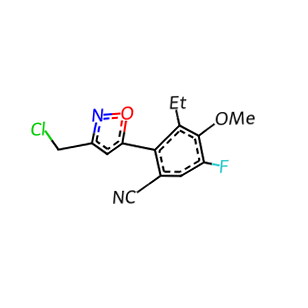 CCc1c(OC)c(F)cc(C#N)c1-c1cc(CCl)no1